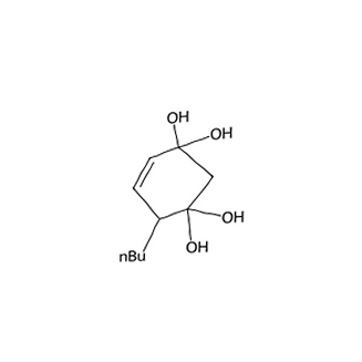 CCCCC1C=CC(O)(O)CC1(O)O